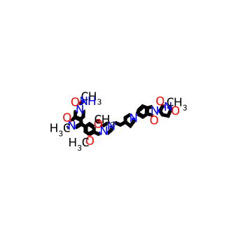 CNC(=O)N1CCc2c(-c3cc(OC)c(CN4CCN(CCC5CCN(c6ccc7c(c6)C(=O)N(C6CCC(=O)N(C)C6=O)C7)CC5)CC4)c(OC)c3)cn(C)c(=O)c2C1